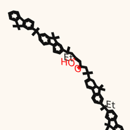 CCC(C)(C/C(O)=C/C(=O)CC(C)(C)C1=CC=C2c3ccc(C(C)(CC)c4ccc5c(c4)C(C)(C)c4ccccc4-5)cc3C(C)(C)C2C1)c1ccc2c(c1)C(C)(C)c1cc(C(C)(C)c3ccc4c(c3)C(C)(C)c3ccccc3-4)ccc1-2